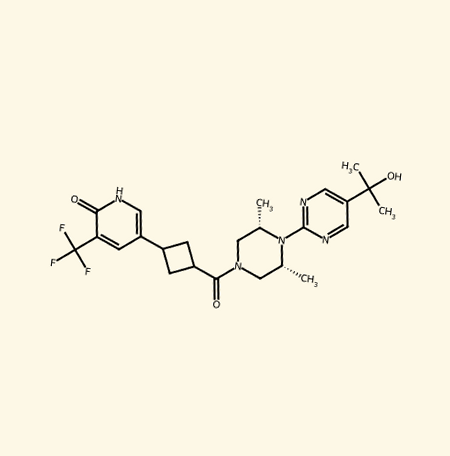 C[C@@H]1CN(C(=O)C2CC(c3c[nH]c(=O)c(C(F)(F)F)c3)C2)C[C@H](C)N1c1ncc(C(C)(C)O)cn1